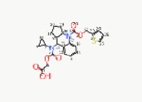 O=C(O)COC(=O)N(C1CC1)C1c2ccccc2N(C(=O)OCc2cccs2)C2CCCC21